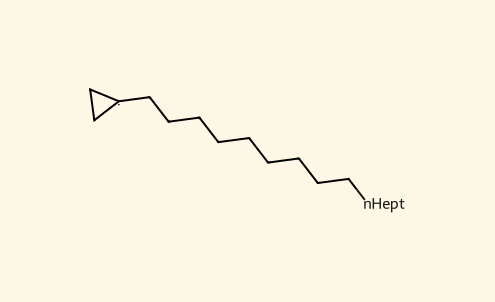 CCCCCCCCCCCCCCCC[C]1CC1